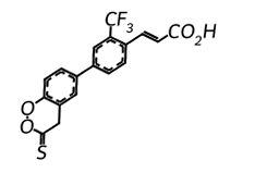 O=C(O)C=Cc1ccc(-c2ccc3c(c2)CC(=S)OO3)cc1C(F)(F)F